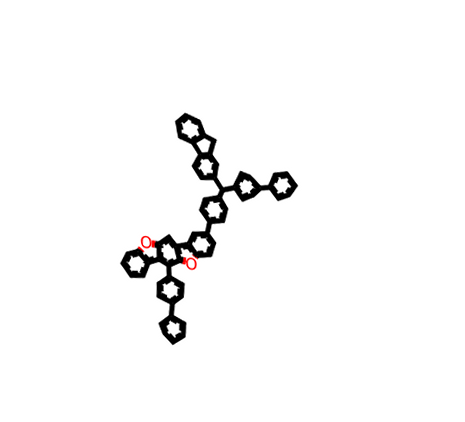 c1ccc(-c2ccc(-c3c4oc5ccc(-c6ccc(C(c7ccc(-c8ccccc8)cc7)c7ccc8c(c7)Cc7ccccc7-8)cc6)cc5c4cc4oc5ccccc5c34)cc2)cc1